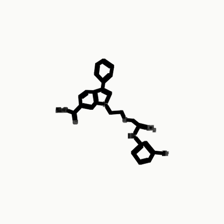 C=C(COCCn1cc(-c2ccccc2)c2ccc(C(=O)OC)cc21)Nc1cccc(C(C)C)c1